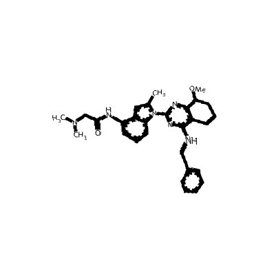 COC1CCCc2c(NCc3ccccc3)nc(-n3c(C)cc4c(NC(=O)CN(C)C)cccc43)nc21